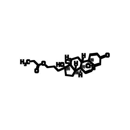 CCC(=O)OCCC[C@]1(O)CC[C@H]2[C@@H]3C=CC4=CC(=O)C=C[C@]4(C)[C@H]3CC[C@@]21C